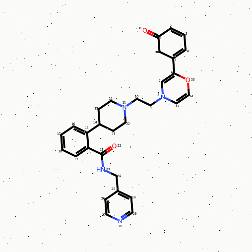 O=C1C=CC=C(C2=CN(CCN3CCC(c4ccccc4C(=O)NCc4ccncc4)CC3)C=CO2)C1